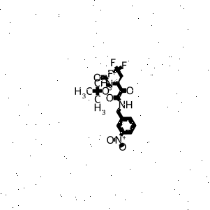 CC(C)(C)ON(C=O)[C@@H](CC(F)(F)F)C(=O)C(=O)NCc1cccc([N+](=O)[O-])c1